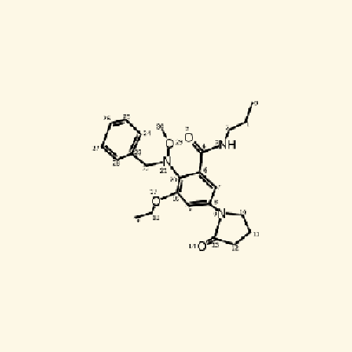 CCCNC(=O)c1cc(N2CCCC2=O)cc(OCC)c1N(Cc1ccccc1)OC